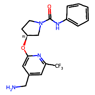 NCc1cc(O[C@H]2CCN(C(=O)Nc3ccccc3)C2)nc(C(F)(F)F)c1